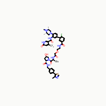 Cc1ncsc1-c1ccc(CNC(=O)[C@@H]2C[C@@H](O)CN2C(=O)C(NC(=O)COCCNC(=O)c2ccc(F)c(-c3ccc(N4C[C@@H](C)N(C)[C@@H](C)C4)c(NC(=O)c4c[nH]c(=O)cc4C(F)(F)F)c3)c2)C(C)(C)C)cc1